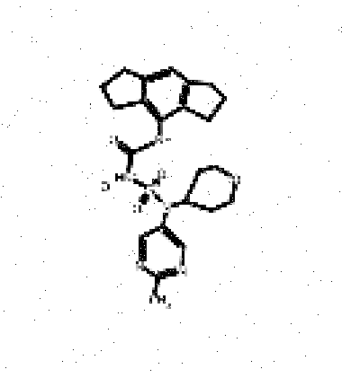 Cc1ncc(N(C2CCOCC2)S(=O)(=O)[NH+]([O-])C(=O)Nc2c3c(cc4c2CCC4)CCC3)cn1